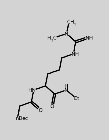 CCCCCCCCCCCC(=O)NC(CCCNC(=N)N(C)C)C(=O)NCC